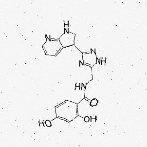 O=C(NCc1nc(C2CNc3ncccc32)n[nH]1)c1ccc(O)cc1O